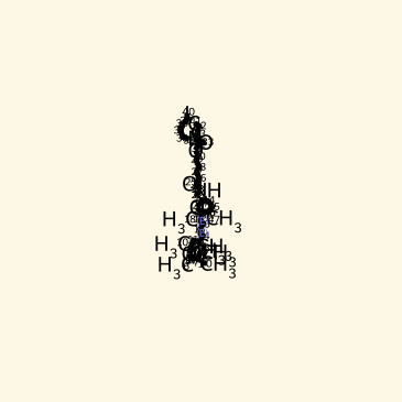 CC[C@H](OC)[C@@H](C)OC(C)(C)C[C@H](C)/C=C/C=C(\C)[C@H]1O[C@@H](CNC(=O)CCCCCOC(=O)N2CCCCC(I)CCC2)CC[C@@H]1C